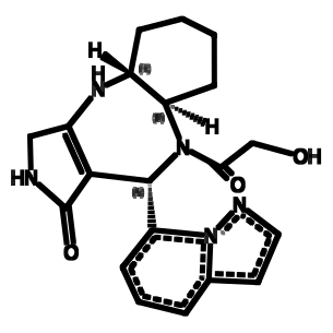 O=C1NCC2=C1[C@@H](c1cccc3ccnn13)N(C(=O)CO)[C@@H]1CCCC[C@H]1N2